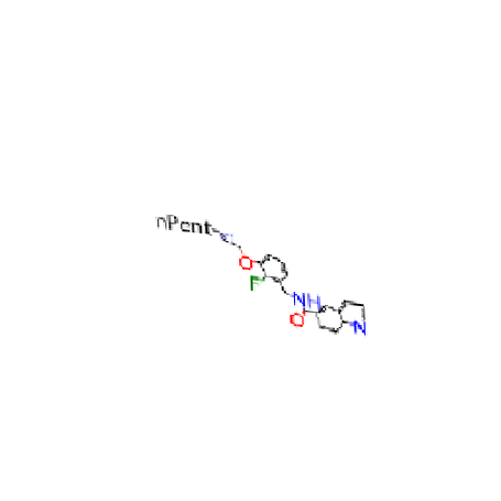 CCCCC/C=C/COc1cccc(CNC(=O)c2ccc3ncccc3c2)c1F